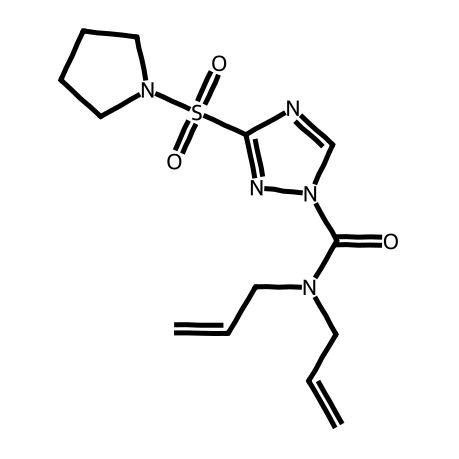 C=CCN(CC=C)C(=O)n1cnc(S(=O)(=O)N2CCCC2)n1